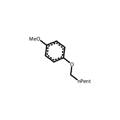 [CH2]CCCCCOc1ccc(OC)cc1